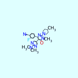 CC1CCN(c2nc(-c3ccc(C#N)c(F)c3)c(-c3cnc(N(C)C)nc3)c(=O)n2C)CC1